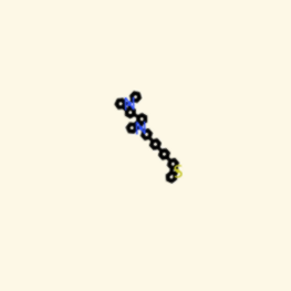 c1ccc(-n2c3ccccc3c3ccc(-c4cccc5c4c4ccccc4n5-c4ccc(-c5ccc(-c6ccc(-c7ccc8sc9ccccc9c8c7)cc6)cc5)cc4)cc32)cc1